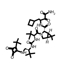 CC(C)(C)c1c(NC[C@@H](NC(=O)N[C@H](C(=O)N2C[C@H]3[C@@H]([C@H]2C(=O)NC(CC2CCC2)C(=O)C(N)=O)C3(C)C)C(C)(C)C)C(C)(C)C)c(=O)c1=O